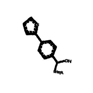 CCCCCCCC(O)c1ccc(-c2cccs2)cc1